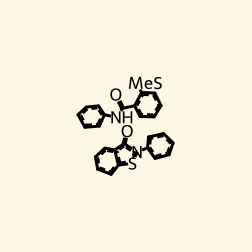 CSc1ccccc1C(=O)Nc1ccccc1.O=c1c2ccccc2sn1-c1ccccc1